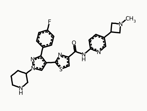 CN1CC(c2ccc(NC(=O)c3csc(-c4cn(C5CCCNC5)nc4-c4ccc(F)cc4)n3)nc2)C1